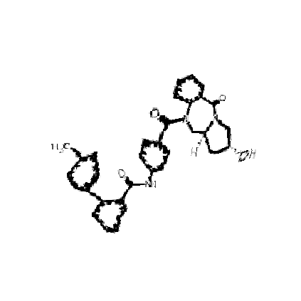 Cc1ccc(-c2ccccc2C(=O)Nc2ccc(C(=O)N3C[C@@H]4C[C@@H](O)CN4C(=O)c4ccccc43)cc2)cc1